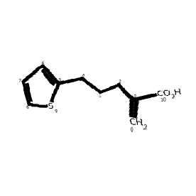 C=C(CCCc1cccs1)C(=O)O